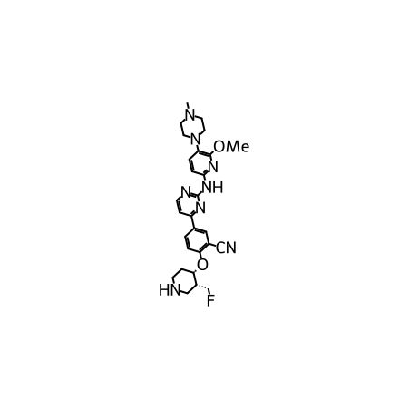 COc1nc(Nc2nccc(-c3ccc(O[C@H]4CCNC[C@H]4CF)c(C#N)c3)n2)ccc1N1CCN(C)CC1